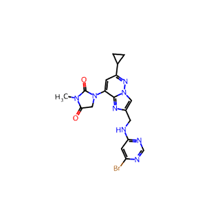 CN1C(=O)CN(c2cc(C3CC3)nn3cc(CNc4cc(Br)ncn4)nc23)C1=O